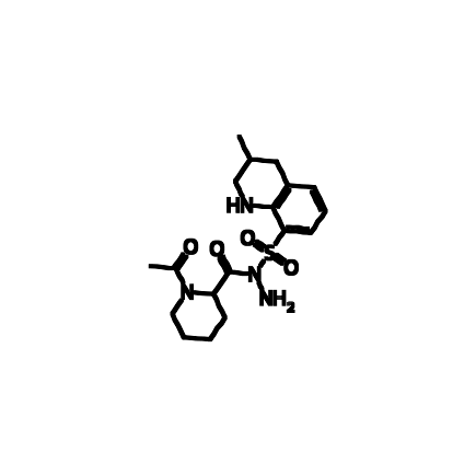 CC(=O)N1CCCCC1C(=O)N(N)S(=O)(=O)c1cccc2c1NCC(C)C2